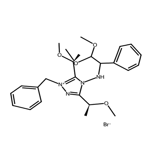 COC(OC)C(Nn1c([C@H](C)OC)n[n+](Cc2ccccc2)c1[C@H](C)OC)c1ccccc1.[Br-]